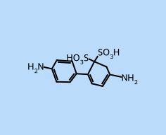 NC1=CC=C(c2ccc(N)cc2)C(S(=O)(=O)O)(S(=O)(=O)O)C1